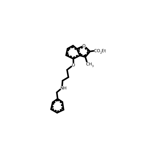 CCOC(=O)c1oc2cccc(OCCCNCc3ccccc3)c2c1C